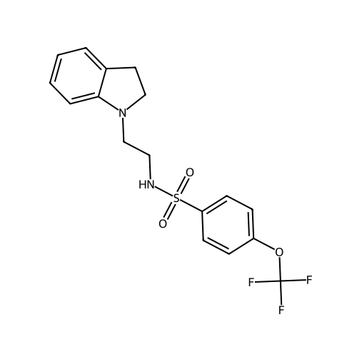 O=S(=O)(NCCN1CCc2ccccc21)c1ccc(OC(F)(F)F)cc1